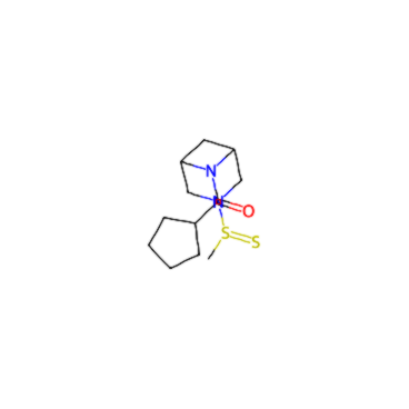 CS(=S)N1CC2CC(C1)N2C(=O)C1CCCC1